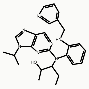 CCC(C(C)O)N(c1ncc2ncn(C(C)C)c2n1)c1ccccc1NCc1cccnc1